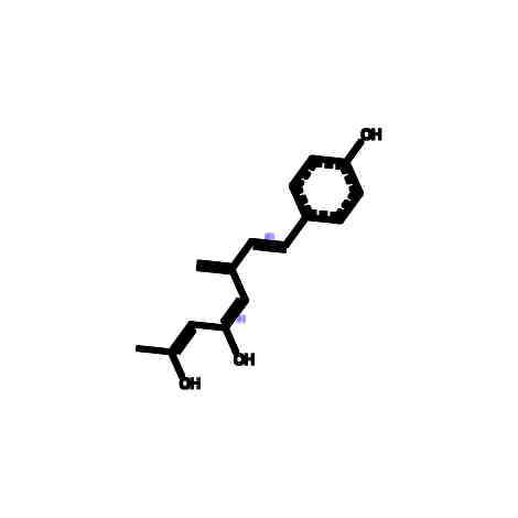 C=C(/C=C/c1ccc(O)cc1)/C=C(/O)C=C(C)O